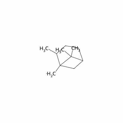 [CH2]C12CC(CCC1C)C2(C)C